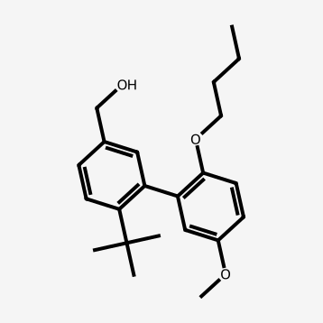 CCCCOc1ccc(OC)cc1-c1cc(CO)ccc1C(C)(C)C